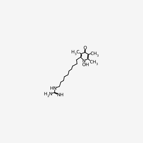 Cc1c(C)n(O)c(CCCCCCCCCCNC(=N)N)c(C)c1=O